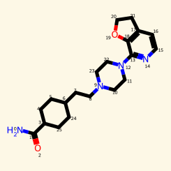 NC(=O)C1CCC(CCN2CCN(c3nccc4c3OCC4)CC2)CC1